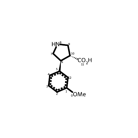 COc1cccc([C@H]2CNC[C@@H]2C(=O)O)c1